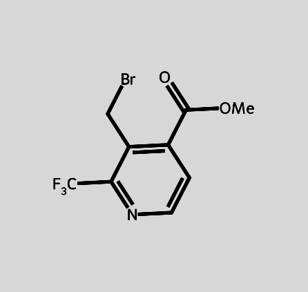 COC(=O)c1ccnc(C(F)(F)F)c1CBr